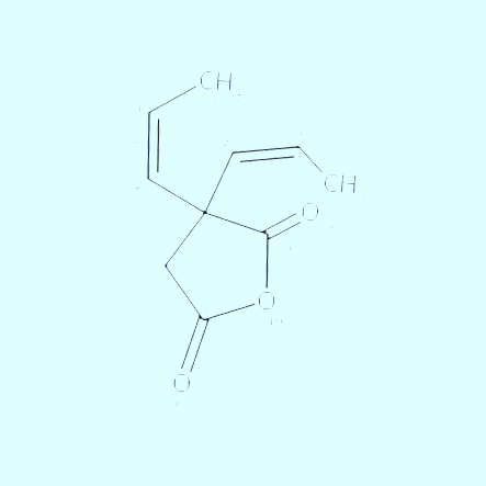 C/C=C\C1(/C=C\C)CC(=O)OC1=O